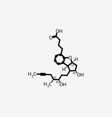 CC#CC[C@H](C)[C@H](O)CCC1[C@H](O)C[C@@H]2Oc3c(CCCC(=O)O)cccc3[C@H]12